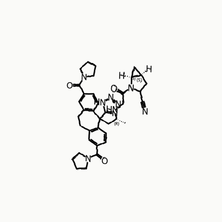 C[C@H](CC1(c2nnn[nH]2)c2ccc(C(=O)N3CCCC3)cc2CCc2cc(C(=O)N3CCCC3)ccc21)NCC(=O)N1C(C#N)C[C@@H]2C[C@@H]21